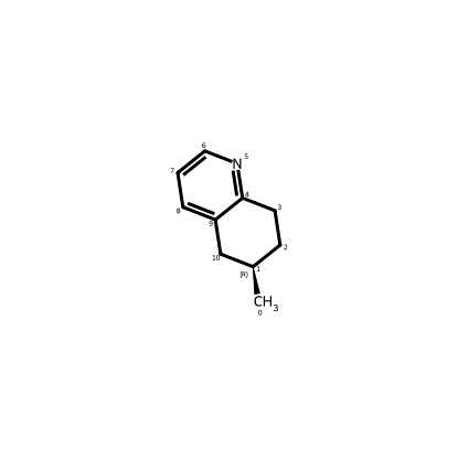 C[C@@H]1CCc2ncccc2C1